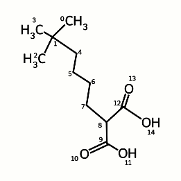 CC(C)(C)CCCCC(C(=O)O)C(=O)O